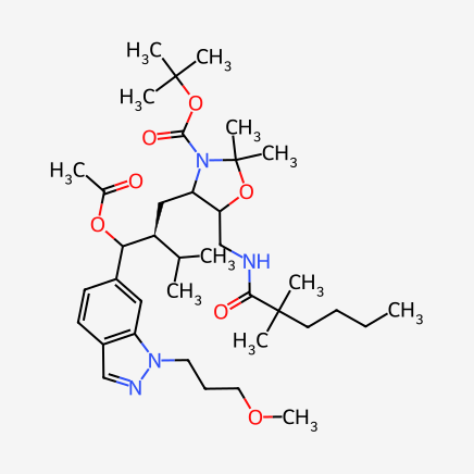 CCCCC(C)(C)C(=O)NCC1OC(C)(C)N(C(=O)OC(C)(C)C)C1C[C@@H](C(C)C)C(OC(C)=O)c1ccc2cnn(CCCOC)c2c1